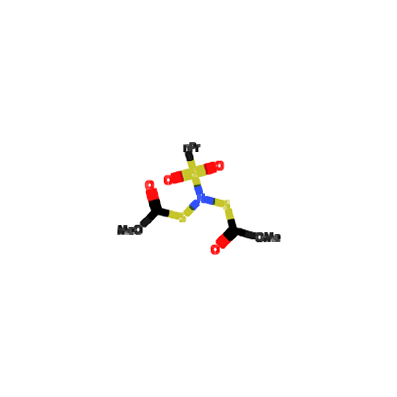 CCCS(=O)(=O)N(SC(=O)OC)SC(=O)OC